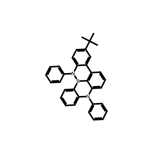 CC(C)(C)c1ccc2c(c1)-c1cccc3c1B(c1ccccc1N3c1ccccc1)N2c1ccccc1